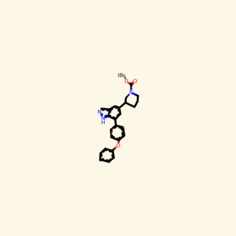 CC(C)(C)OC(=O)N1CCCC(c2cc(-c3ccc(Oc4ccccc4)cc3)c3[nH]ncc3c2)C1